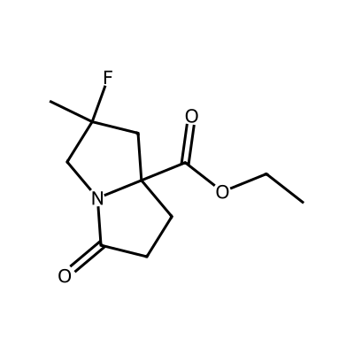 CCOC(=O)C12CCC(=O)N1CC(C)(F)C2